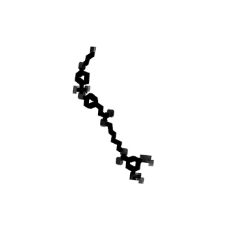 Nc1cc(N)cc(C(=O)OCCCCCCOC(=O)/C=C/c2ccc(OC(F)(F)c3ccc(OCCCF)cc3)cc2)c1